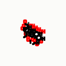 CC(=O)O[C@H]1C2[C@@H]([C@@H](O)[C@@H](O)[C@H]3C[C@@H]4O[C@@H]4[C@H](OC(C)=O)[C@]23C)[C@@H]2[C@@H](O)[C@@H]3[C@H]([C@H](C)[C@@H]4O[C@@]45OC(=O)[C@@](C)(O)[C@]35C)[C@@]2(C)[C@H]1OC(C)=O